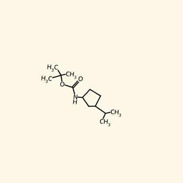 CC(C)C1CCC(NC(=O)OC(C)(C)C)C1